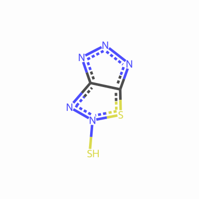 Sn1nc2nnnc-2s1